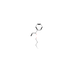 C=CC(OCCCC(C)C)c1ccccc1